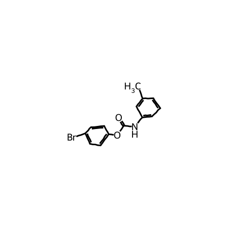 Cc1cccc(NC(=O)Oc2ccc(Br)cc2)c1